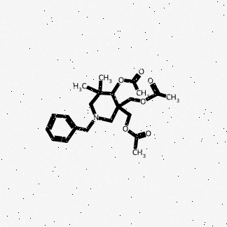 CC(=O)OCC1(COC(C)=O)CN(Cc2ccccc2)CC(C)(C)C1OC(C)=O